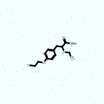 COC(=O)C(Cc1ccc(OCCCl)cc1)OCC(F)(F)F